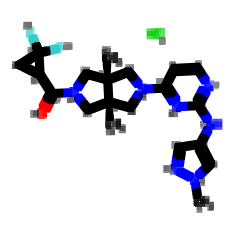 Cl.Cn1cc(Nc2nccc(N3C[C@]4(C)CN(C(=O)C5CC5(F)F)C[C@]4(C)C3)n2)cn1